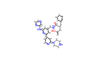 C=C(O)C[C@H](Cc1ccccc1)C(=O)NCc1cc(Nc2cnccn2)nc(-c2ccnc(N3CCNCC3)c2)c1